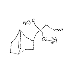 O=C(O)C(CO)(C(=O)O)C1CC2C=CC1CC2